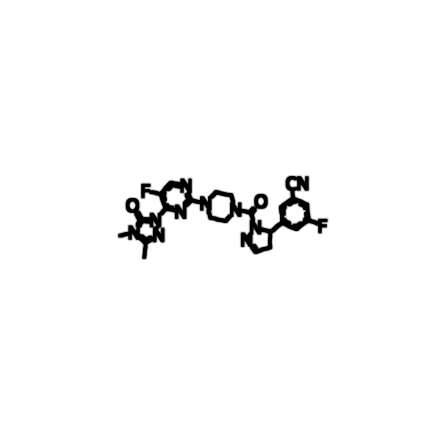 Cc1nn(-c2nc(N3CCN(C(=O)N4N=CCC4c4cc(F)cc(C#N)c4)CC3)ncc2F)c(=O)n1C